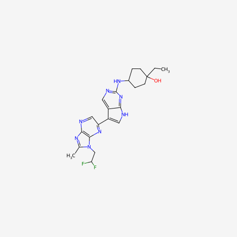 CCC1(O)CCC(Nc2ncc3c(-c4cnc5nc(C)n(CC(F)F)c5n4)c[nH]c3n2)CC1